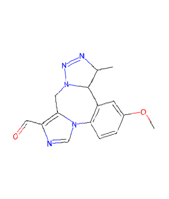 COc1ccc2c(c1)C1C(C)N=NN1Cc1c(C=O)ncn1-2